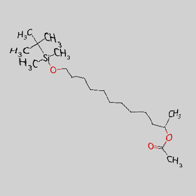 CC(=O)OC(C)CCCCCCCCCCO[Si](C)(C)C(C)(C)C